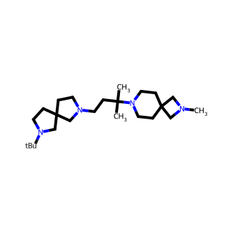 CN1CC2(CCN(C(C)(C)CCN3CCC4(CCN(C(C)(C)C)C4)C3)CC2)C1